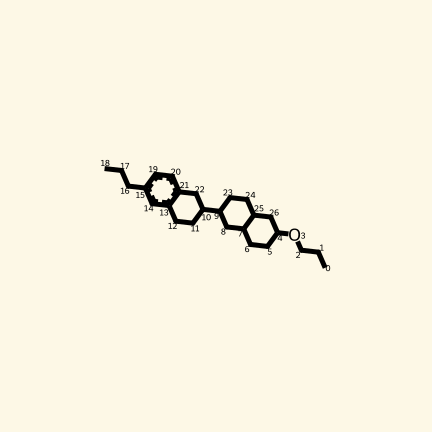 CCCOC1CCC2CC(C3CCc4cc(CCC)ccc4C3)CCC2C1